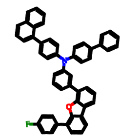 Fc1ccc(-c2cccc3c2oc2c(-c4cccc(N(c5ccc(-c6ccccc6)cc5)c5ccc(-c6cccc7ccccc67)cc5)c4)cccc23)cc1